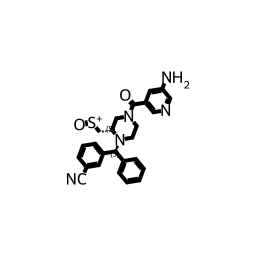 N#Cc1cccc([C@H](c2ccccc2)N2CCN(C(=O)c3cncc(N)c3)C[C@H]2C[S+]=O)c1